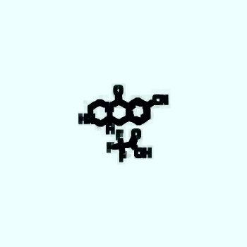 N#Cc1ccc2c(c1)C(=O)N1CCNC[C@H]1C2.O=C(O)C(F)(F)F